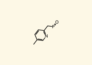 Cc1ccc(CP=O)nc1